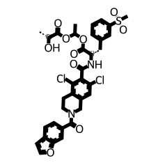 CC(OC(=O)[C@H](Cc1cccc(S(C)(=O)=O)c1)NC(=O)c1c(Cl)cc2c(c1Cl)CCN(C(=O)c1ccc3ccoc3c1)C2)OC(=O)[C@@H](C)O